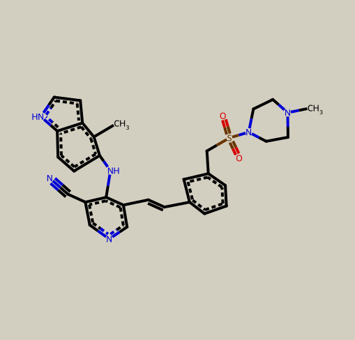 Cc1c(Nc2c(C#N)cncc2C=Cc2cccc(CS(=O)(=O)N3CCN(C)CC3)c2)ccc2[nH]ccc12